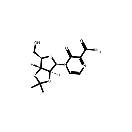 CC1(C)O[C@H]2[C@H](O1)[C@@H](CO)O[C@H]2n1ccnc(C(N)=O)c1=O